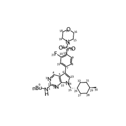 CCCCNc1ncc2c(-c3ccc(S(=O)(=O)N4CCOCC4)c(F)c3)cn(C[C@H]3CC[C@H](C)CC3)c2n1